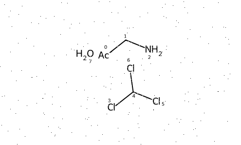 CC(=O)CN.ClC(Cl)Cl.O